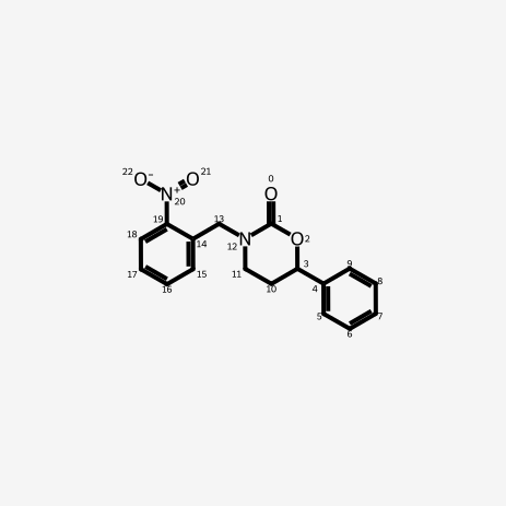 O=C1OC(c2ccccc2)CCN1Cc1ccccc1[N+](=O)[O-]